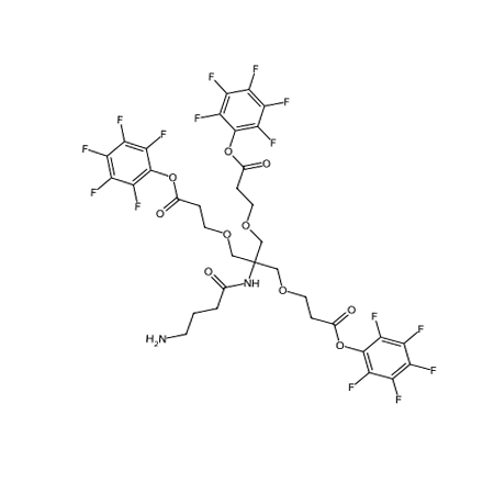 NCCCC(=O)NC(COCCC(=O)Oc1c(F)c(F)c(F)c(F)c1F)(COCCC(=O)Oc1c(F)c(F)c(F)c(F)c1F)COCCC(=O)Oc1c(F)c(F)c(F)c(F)c1F